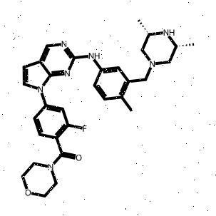 Cc1ccc(Nc2ncc3ccn(-c4ccc(C(=O)N5CCOCC5)c(F)c4)c3n2)cc1CN1C[C@@H](C)N[C@@H](C)C1